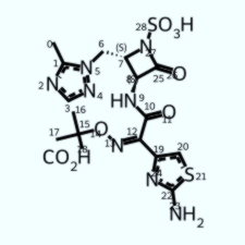 Cc1ncnn1C[C@H]1[C@H](NC(=O)C(=NOC(C)(C)C(=O)O)c2csc(N)n2)C(=O)N1S(=O)(=O)O